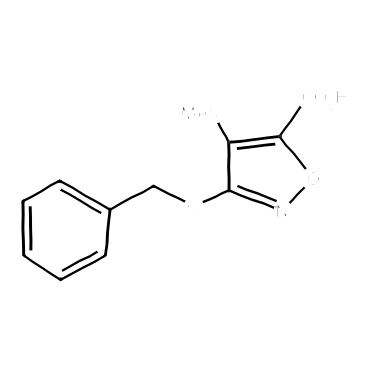 CSc1c(OCc2ccccc2)noc1C(=O)O